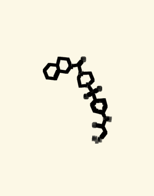 C=CC(=O)Nc1ccc(S(=O)(=O)N2CCN(C(=O)N3CCC4CCCC=C4C3)CC2)cc1